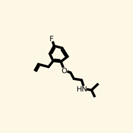 C=CCc1cc(F)ccc1OCCCNC(C)C